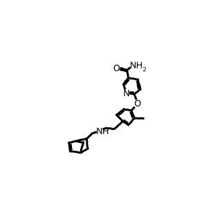 Cc1cc(CCNCC2CC3C=CC2C3)ccc1Oc1ccc(C(N)=O)cn1